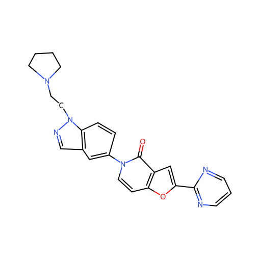 O=c1c2cc(-c3ncccn3)oc2ccn1-c1ccc2c(cnn2CCN2CCCC2)c1